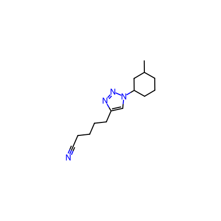 CC1CCCC(n2cc(CCCCC#N)nn2)C1